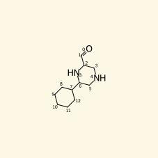 O=CC1CNCC(C2CCCCC2)N1